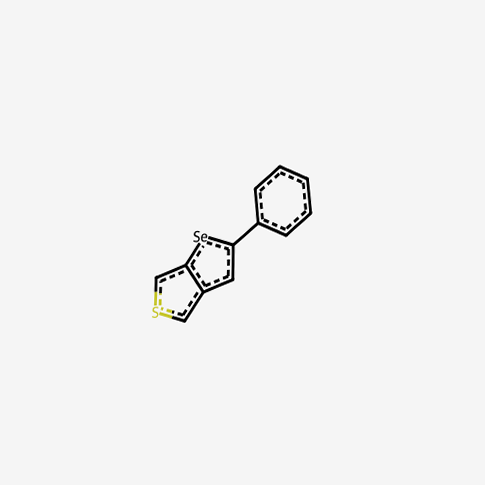 c1ccc(-c2cc3cscc3[se]2)cc1